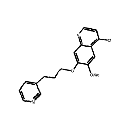 COc1cc2c(Cl)ccnc2cc1OCCCc1cccnc1